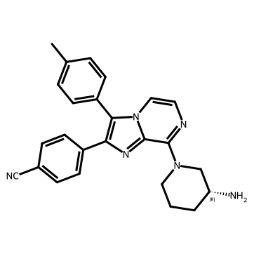 Cc1ccc(-c2c(-c3ccc(C#N)cc3)nc3c(N4CCC[C@@H](N)C4)nccn23)cc1